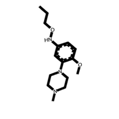 CCCONc1ccc(OC)c(N2CCN(C)CC2)c1